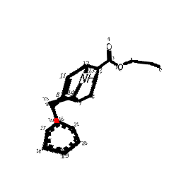 CCOC(=O)C1CC2C(CC)=CC1NC2Cc1ccccc1